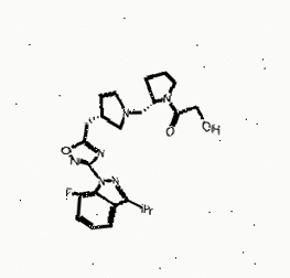 CC(C)c1nn(-c2noc(C[C@@H]3CCN(C[C@@H]4CCCN4C(=O)CO)C3)n2)c2c(F)cccc12